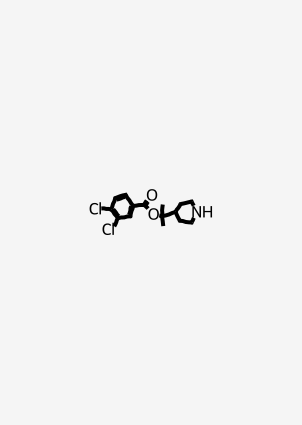 CC(C)(OC(=O)c1ccc(Cl)c(Cl)c1)C1CCNCC1